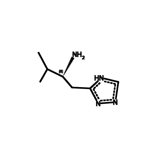 CC(C)[C@H](N)Cc1nnc[nH]1